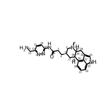 CN1C[C@H](CCC(=O)Nc2ccc(CN)nn2)C[C@@H]2c3cccc4[nH]cc(c34)C[C@H]21